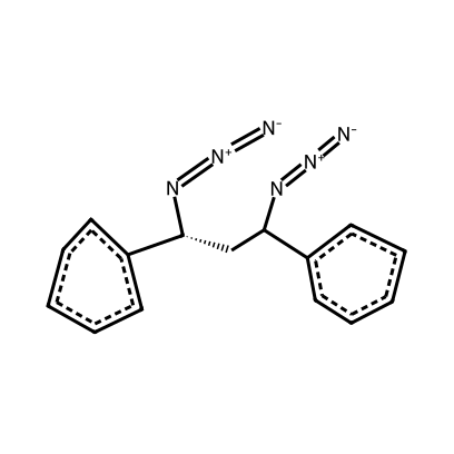 [N-]=[N+]=NC(C[C@@H](N=[N+]=[N-])c1ccccc1)c1ccccc1